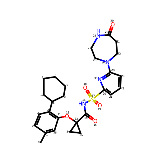 Cc1ccc(C2CCCCC2)c(OC2(C(=O)NS(=O)(=O)c3cccc(N4CCNC(=O)CC4)n3)CC2)c1